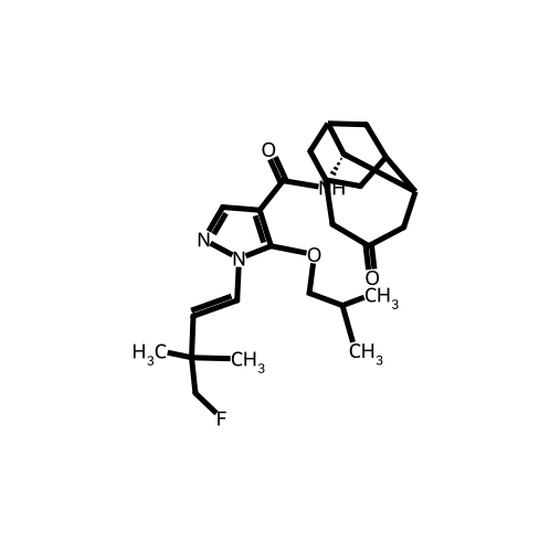 CC(C)COc1c(C(=O)N[C@@H]2C3CC4CC(=O)CC2C(C4)C3)cnn1/C=C/C(C)(C)CF